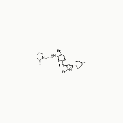 CCc1nn(C2CCN(C)CC2)cc1Nc1ncc(Br)c(NCCCN2CCCCC2=O)n1